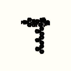 Cn1nccc1-c1cnc2oc(-c3ccc(C4(NC(=O)O)CCC4)cc3)c(-c3ccccc3)c2n1.[Pd].c1ccc(P(c2ccccc2)c2ccccc2)cc1.c1ccc(P(c2ccccc2)c2ccccc2)cc1.c1ccc(P(c2ccccc2)c2ccccc2)cc1.c1ccc(P(c2ccccc2)c2ccccc2)cc1